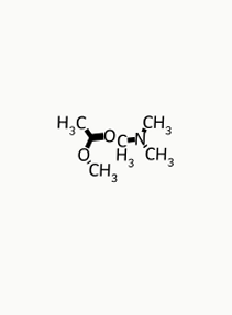 CN(C)C.COC(C)=O